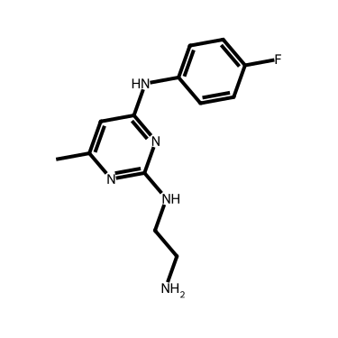 Cc1cc(Nc2ccc(F)cc2)nc(NCCN)n1